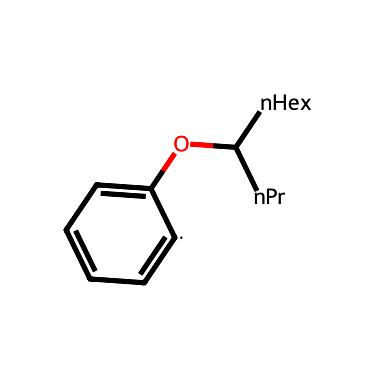 CCCCCCC(CCC)Oc1[c]cccc1